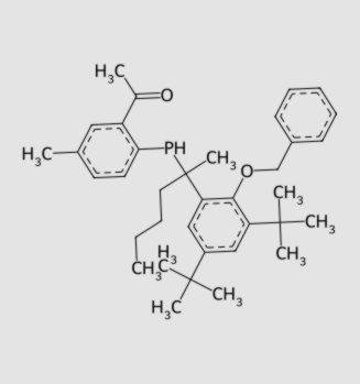 CCCCC(C)(Pc1ccc(C)cc1C(C)=O)c1cc(C(C)(C)C)cc(C(C)(C)C)c1OCc1ccccc1